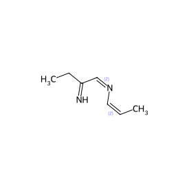 C/C=C\N=C/C(=N)CC